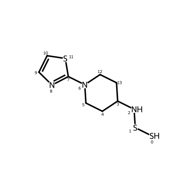 SSNC1CCN(c2nccs2)CC1